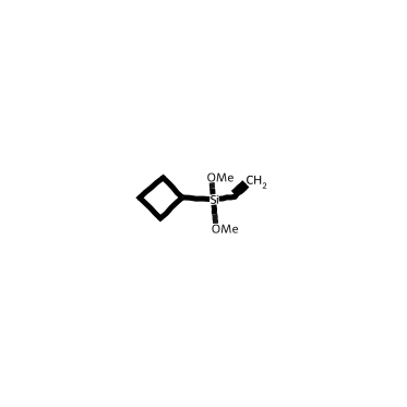 C=C[Si](OC)(OC)C1CCC1